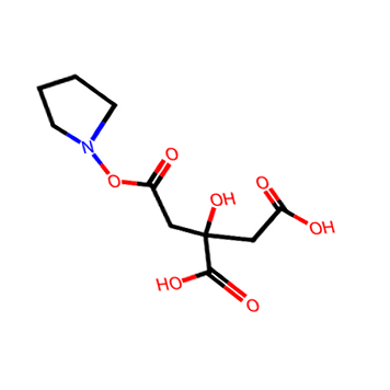 O=C(O)CC(O)(CC(=O)ON1CCCC1)C(=O)O